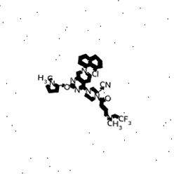 CN(C/C=C/C(=O)N1CCN(c2nc(OC[C@@H]3CCCN3C)nc3c2CCN(c2cccc4cccc(Cl)c24)C3)C[C@@H]1CC#N)CC(F)(F)F